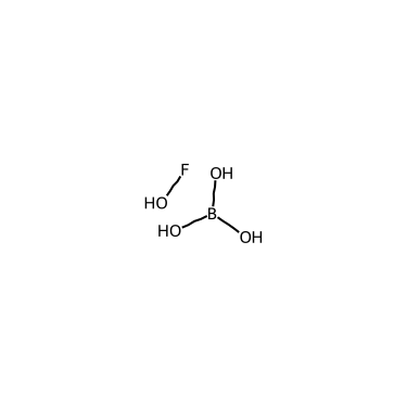 OB(O)O.OF